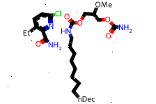 CCCCCCCCCCCCCCCCCCNC(=O)OCC(COC(N)=O)OC.CCc1ccc(Cl)nc1C(N)=O